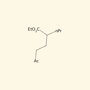 CCCC(CCC(C)=O)C(=O)OCC